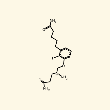 NC(=O)CCCCc1cccc(OC[C@@H](N)CCC(N)=O)c1F